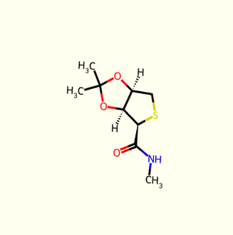 CNC(=O)[C@@H]1SC[C@@H]2OC(C)(C)O[C@@H]21